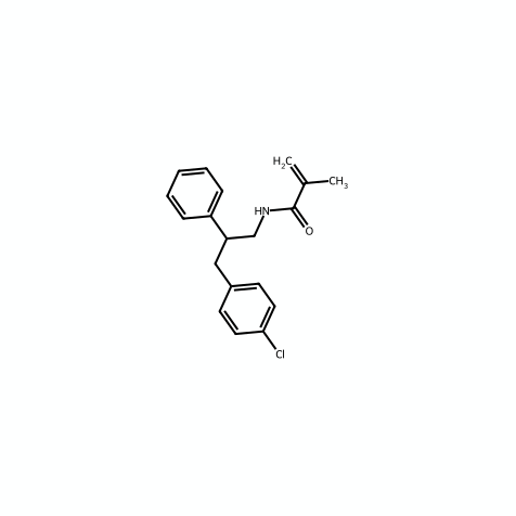 C=C(C)C(=O)NCC(Cc1ccc(Cl)cc1)c1ccccc1